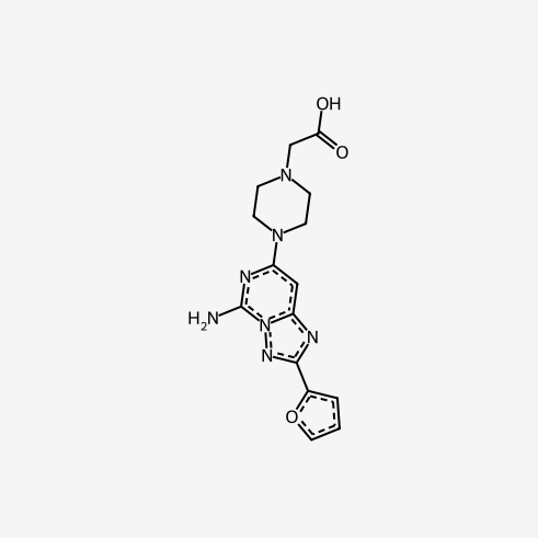 Nc1nc(N2CCN(CC(=O)O)CC2)cc2nc(-c3ccco3)nn12